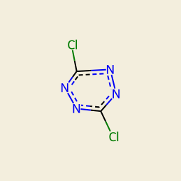 Clc1nnc(Cl)nn1